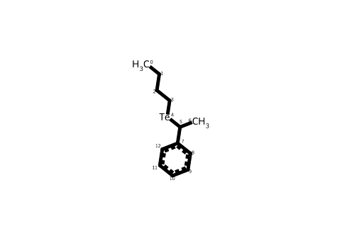 CCCC[Te]C(C)c1ccccc1